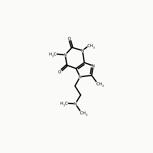 Cc1nc2c(c(=O)n(C)c(=O)n2C)n1CCN(C)C